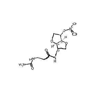 NC(=O)NCC(=O)N[C@@H]1CO[C@@H]2C(O[N+](=O)[O-])CO[C@@H]21